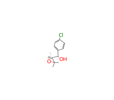 CC1(C)O[C@@]1(C)C(O)c1ccc(Cl)cc1